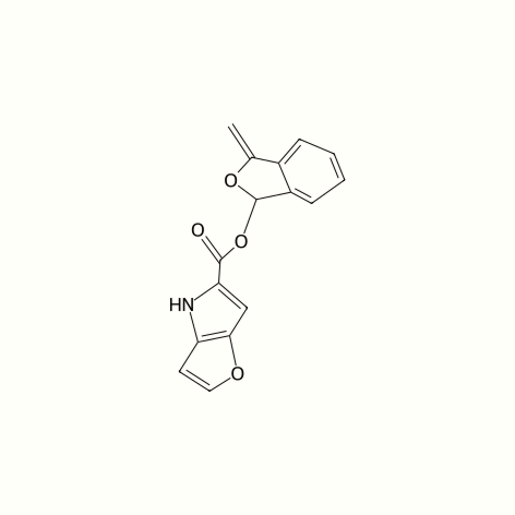 C=C1OC(OC(=O)c2cc3occc3[nH]2)c2ccccc21